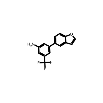 Nc1cc(-c2ccc3occc3c2)cc(C(F)(F)F)c1